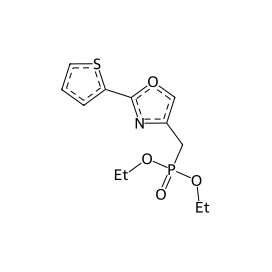 CCOP(=O)(Cc1coc(-c2cccs2)n1)OCC